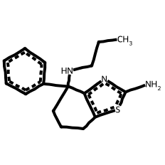 CCCNC1(c2ccccc2)CCCc2sc(N)nc21